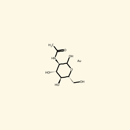 CC(=O)N[C@H]1C(O)O[C@H](CO)[C@@H](O)[C@@H]1O.[Au]